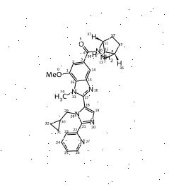 COc1cc(C(=O)N2C[C@H]3CC[C@@H]2[C@@H]3N)cc2nc(-c3cnc(-c4ccccn4)n3CC3CC3)n(C)c12